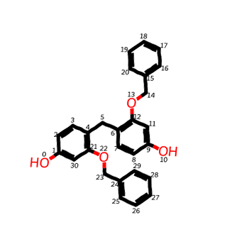 Oc1ccc(Cc2ccc(O)cc2OCc2ccccc2)c(OCc2ccccc2)c1